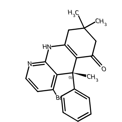 CC1(C)CC(=O)C2=C(C1)Nc1nccc(Br)c1[C@@]2(C)c1ccccc1